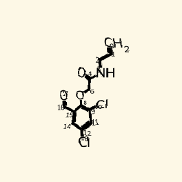 C=CCNC(=O)COc1c(Cl)cc(Cl)cc1C=O